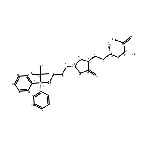 C=C(I)[C@H](C)C[C@@H](Cl)CC[C@@H]1O[C@@H](CCCO[Si](c2ccccc2)(c2ccccc2)C(C)(C)C)CC1=C